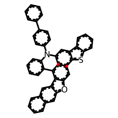 c1ccc(-c2ccc(N(c3ccc4sc5ccccc5c4c3)c3ccccc3-c3cccc4oc5cc6ccccc6cc5c34)cc2)cc1